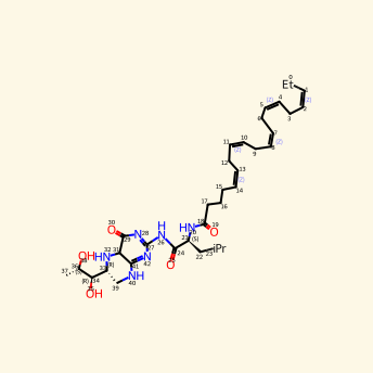 CC/C=C\C/C=C\C/C=C\C/C=C\C/C=C\CCCC(=O)N[C@@H](CC(C)C)C(=O)NC1=NC(=O)C2N[C@@H]([C@@H](O)[C@H](C)O)CNC2=N1